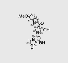 COc1ccc2cc(C(=O)N3CCN(C(=O)CN4C[C@@H](C)NC[C@@H]4CO)CC3)n(C)c2c1.Cl